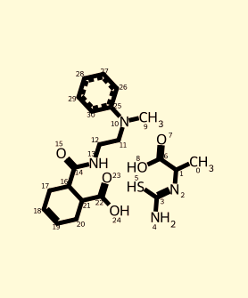 CC(N=C(N)S)C(=O)O.CN(CCNC(=O)C1CC=CCC1C(=O)O)c1ccccc1